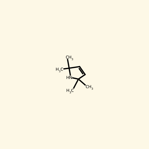 CC1(C)C=CC(C)(C)N1